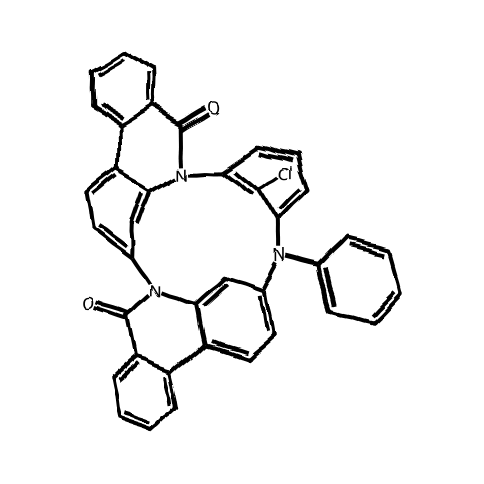 O=c1c2ccccc2c2ccc3cc2n1c1ccc2c4ccccc4c(=O)n(c4cccc(c4Cl)n3-c3ccccc3)c2c1